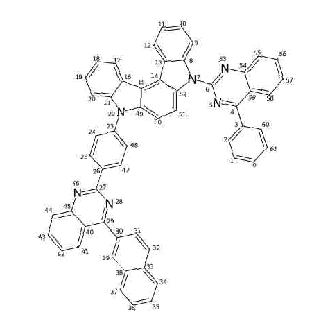 c1ccc(-c2nc(-n3c4ccccc4c4c5c6ccccc6n(-c6ccc(-c7nc(-c8ccc9ccccc9c8)c8ccccc8n7)cc6)c5ccc43)nc3ccccc23)cc1